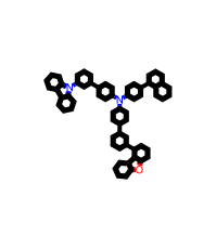 c1cc(-c2ccc(N(c3ccc(-c4cccc(-n5c6ccccc6c6ccccc65)c4)cc3)c3ccc(-c4cccc5ccccc45)cc3)cc2)cc(-c2cccc3oc4ccccc4c23)c1